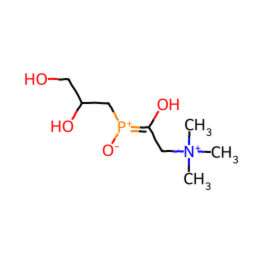 C[N+](C)(C)C/C(O)=[P+](\[O-])CC(O)CO